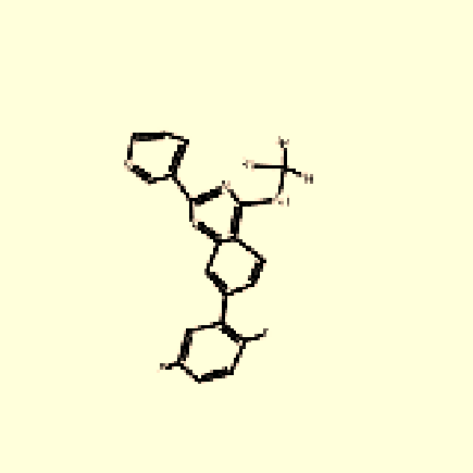 [2H]C([2H])([2H])Nc1nc(-c2cccnc2)nc2cc(-c3cc(F)ccc3F)ccc12